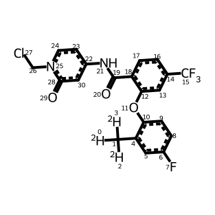 [2H]C([2H])([2H])c1cc(F)ccc1Oc1cc(C(F)(F)F)ccc1C(=O)Nc1ccn(CCl)c(=O)c1